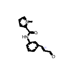 Cn1cccc1C(=O)Nc1cccc(/C=C/[C]=O)c1